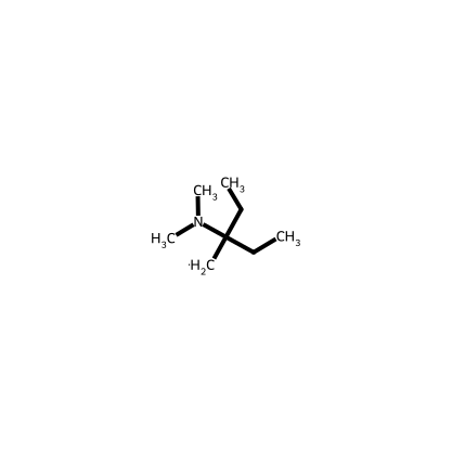 [CH2]C(CC)(CC)N(C)C